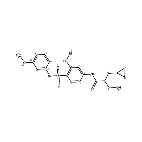 CCOc1cc(NC(=O)C(CO)CC2CC2)ccc1S(=O)(=O)Nc1cccc(OC(F)(F)F)c1